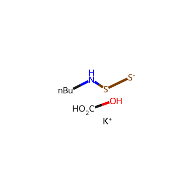 CCCCNS[S-].O=C(O)O.[K+]